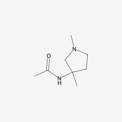 CC(=O)NC1(C)CCN(C)C1